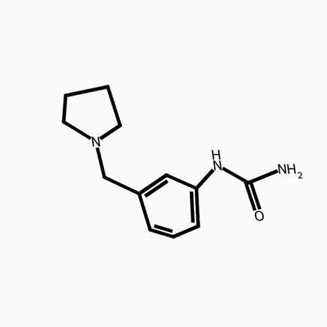 NC(=O)Nc1cccc(CN2CCCC2)c1